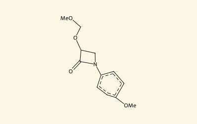 COCOC1CN(c2ccc(OC)cc2)C1=O